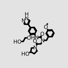 COc1cccc(CN(CC(=O)N2CCC(O)C2)C(=O)Nc2ccc(-c3cn[nH]c3)cc2OCCO)c1